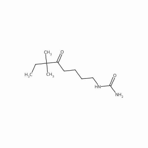 CCC(C)(C)C(=O)CCCCNC(N)=O